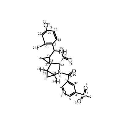 CS(=O)(=O)c1cncc(C(=O)N2[C@@H](C(=O)NC(c3ccc(C(F)(F)F)cc3F)C3CC3)C[C@H]3C[C@H]32)c1